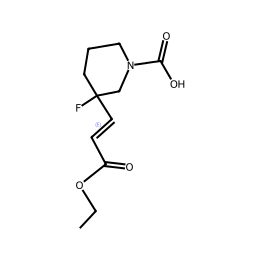 CCOC(=O)/C=C/C1(F)CCCN(C(=O)O)C1